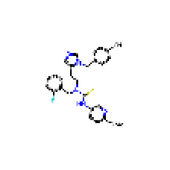 COc1ccc(NC(=S)N(CCc2cncn2Cc2ccc(C#N)cc2)Cc2ccccc2F)cn1